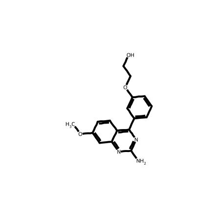 COc1ccc2c(-c3cccc(OCCO)c3)nc(N)nc2c1